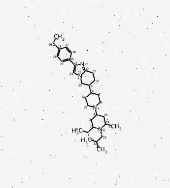 CCC1CC(N2CCC(C3CCc4nc(-c5ccc(SC)cc5)cn4C3)CC2)CC(C)N1CC(C)C